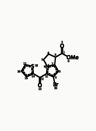 COC(=O)C1CCn2c1cc(Br)c2C(=O)c1cccs1